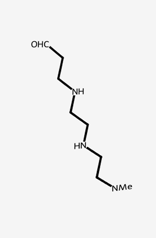 CNCCNCCNCCC=O